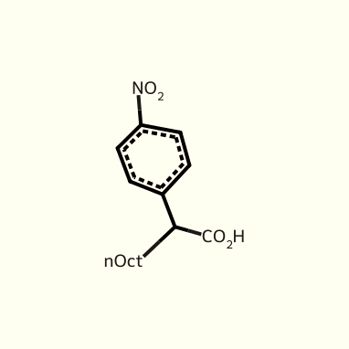 CCCCCCCCC(C(=O)O)c1ccc([N+](=O)[O-])cc1